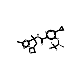 Cc1nnc(C(C)(CC2COC2)NC(=O)c2cc(O[C@@H](C)C(F)(F)F)c(C3CC3)cn2)o1